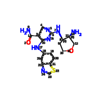 NC(=O)c1cnc(N[C@@H]2CCOC[C@@H]2N)nc1Nc1ccc2scnc2c1